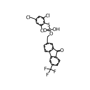 O=C1c2cc(COP(=O)(O)Sc3c(Cl)cc(Cl)cc3Cl)ccc2-c2cc(C(F)(F)F)ccc21